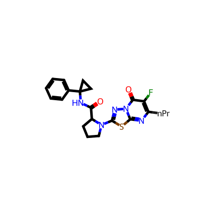 CCCc1nc2sc(N3CCCC3C(=O)NC3(c4ccccc4)CC3)nn2c(=O)c1F